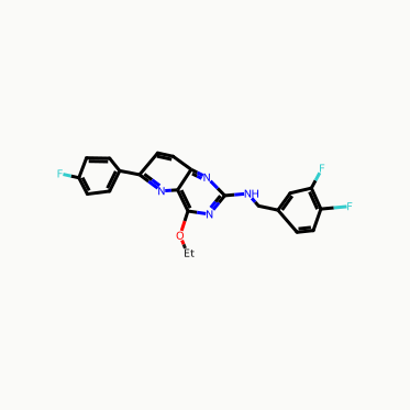 CCOc1nc(NCc2ccc(F)c(F)c2)nc2ccc(-c3ccc(F)cc3)nc12